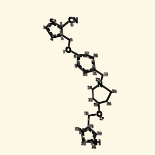 N#Cc1sccc1COc1ccc(CN2CCC(OCc3c[nH]cn3)CC2)cc1